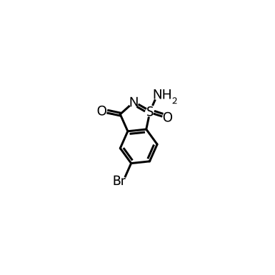 NS1(=O)=NC(=O)c2cc(Br)ccc21